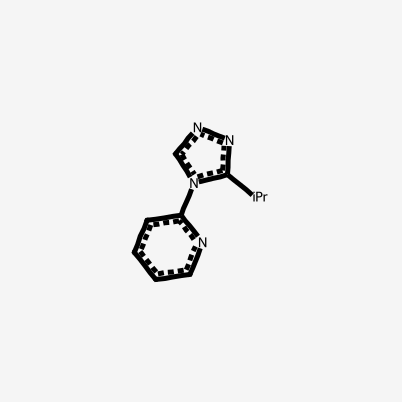 CC(C)c1nncn1-c1ccccn1